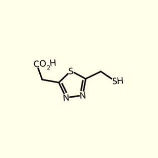 O=C(O)Cc1nnc(CS)s1